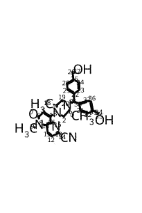 C[C@@H]1CN(c2cc(=O)n(C)c3ccc(C#N)nc23)[C@@H](C)CN1C(c1ccc(CO)cc1)c1ccc(CO)cc1